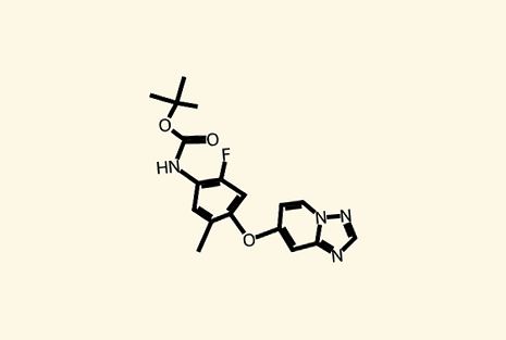 Cc1cc(NC(=O)OC(C)(C)C)c(F)cc1Oc1ccn2ncnc2c1